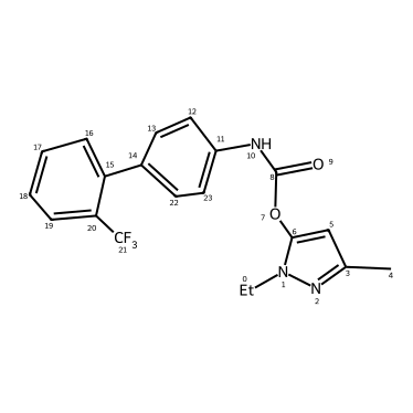 CCn1nc(C)cc1OC(=O)Nc1ccc(-c2ccccc2C(F)(F)F)cc1